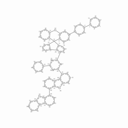 c1ccc(-c2ccc(-c3ccc4c(c3)Oc3ccccc3C43c4ccccc4-c4c(-c5nc(-c6ccccc6)nc(-c6cccc7oc8c(-c9cccc%10c9oc9ccccc9%10)cccc8c67)n5)cccc43)cc2)cc1